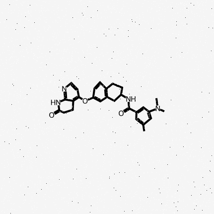 Cc1cc(C(=O)NC2CCc3ccc(Oc4ccnc5c4CCC(=O)N5)cc3C2)cc(N(C)C)c1